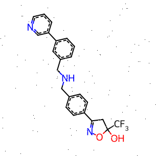 OC1(C(F)(F)F)CC(c2ccc(CNCc3cccc(-c4cccnc4)c3)cc2)=NO1